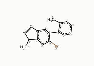 Cc1ccccc1-c1cc2c(cc1Br)C(C)C=C2